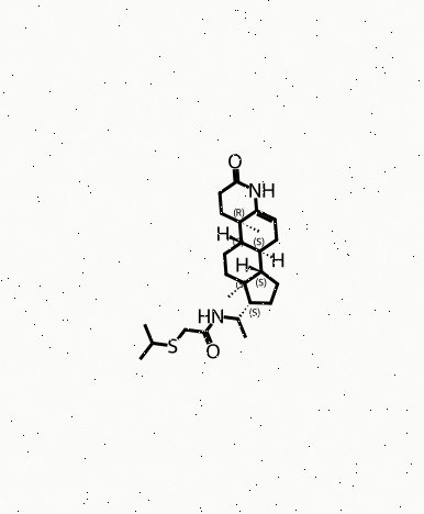 CC(C)SCC(=O)NC(C)[C@H]1CC[C@H]2[C@@H]3CC=C4NC(=O)CC[C@]4(C)[C@H]3CC[C@]12C